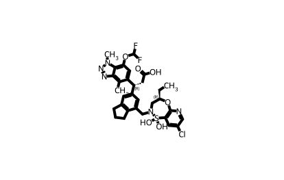 CC[C@@H]1CN(Cc2cc([C@@H](CC(=O)O)c3cc(OC(F)F)c4c(nnn4C)c3C)cc3c2CCC3)S(O)(O)c2cc(Cl)cnc2O1